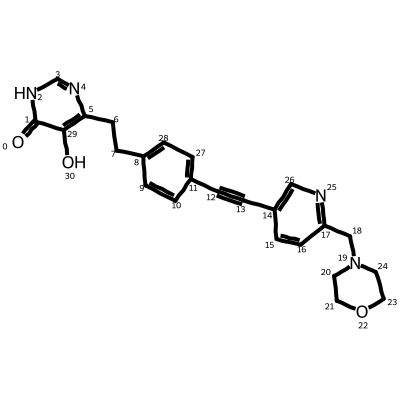 O=c1[nH]cnc(CCc2ccc(C#Cc3ccc(CN4CCOCC4)nc3)cc2)c1O